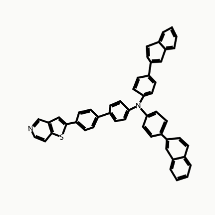 c1ccc2cc(-c3ccc(N(c4ccc(-c5ccc(-c6cc7cnccc7s6)cc5)cc4)c4ccc(-c5ccc6ccccc6c5)cc4)cc3)ccc2c1